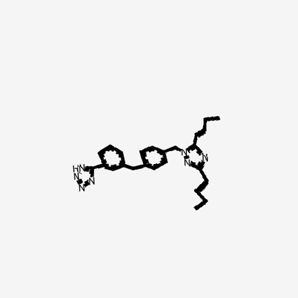 CCC=Cc1nc(C=CCC)n(Cc2ccc(Cc3cccc(-c4nnn[nH]4)c3)cc2)n1